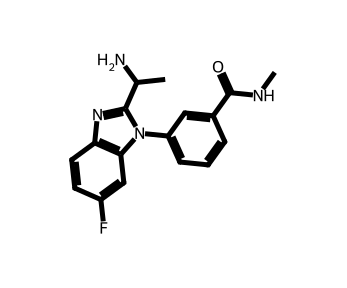 CNC(=O)c1cccc(-n2c(C(C)N)nc3ccc(F)cc32)c1